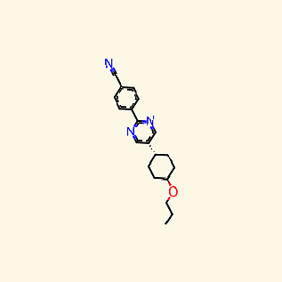 CCCO[C@H]1CC[C@H](c2cnc(-c3ccc(C#N)cc3)nc2)CC1